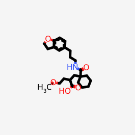 COCCC(CC1(C(=O)NCCCc2ccc3c(c2)CCO3)CCCCC1)C(=O)O